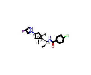 CC[C@@H](NC(=O)c1ccc(Cl)cc1)[C@H]1[C@@H]2C[C@@H](n3cc(I)cn3)C[C@@H]21